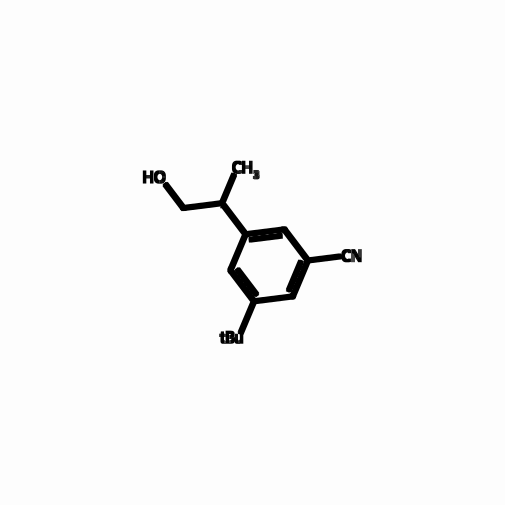 C[C](CO)c1cc(C#N)cc(C(C)(C)C)c1